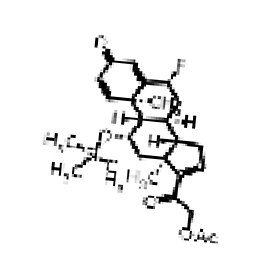 CC(=O)OCC(=O)C1=CC[C@H]2[C@@H]3C[C@H](F)C4=CC(=O)C=C[C@]4(C)[C@H]3[C@@H](O[Si](C)(C)C)C[C@]12C